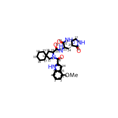 COc1cccc2[nH]c(C(=O)N3CC4(CCCCC4)CC3C(=O)NC(C[C@@H]3CCNC3=O)C(N)=O)cc12